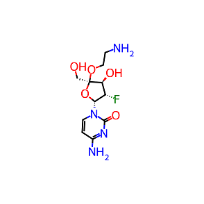 NCCO[C@]1(CO)O[C@@H](n2ccc(N)nc2=O)[C@@H](F)[C@@H]1O